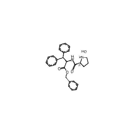 Cl.O=C(OCc1ccccc1)C(NC(=O)[C@@H]1CCCN1)C(c1ccccc1)c1ccccc1